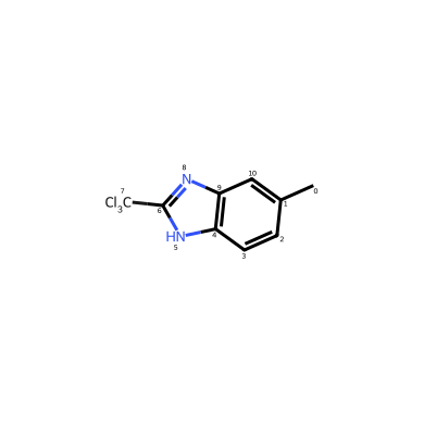 Cc1ccc2[nH]c(C(Cl)(Cl)Cl)nc2c1